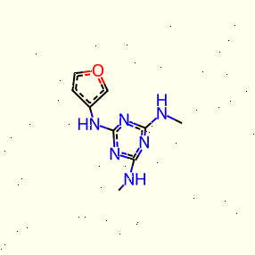 CNc1nc(NC)nc(Nc2ccoc2)n1